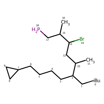 CCC(C)CC(CCCCC1CC1)C(C)CC(Br)C(C)CP